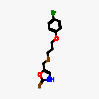 S=c1[nH]cc(CSCCCOc2ccc(Br)cc2)o1